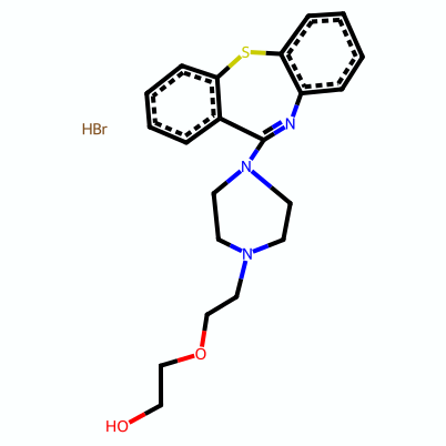 Br.OCCOCCN1CCN(C2=Nc3ccccc3Sc3ccccc32)CC1